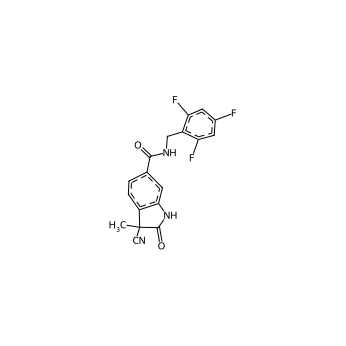 CC1(C#N)C(=O)Nc2cc(C(=O)NCc3c(F)cc(F)cc3F)ccc21